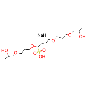 CC(O)COCCCOCCCC(OCCCOCC(C)O)S(=O)(=O)O.[NaH]